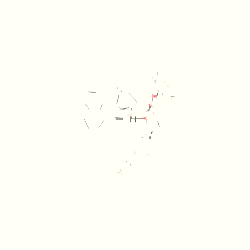 [2H]C([2H])([2H])N1CC[C@H](C(F)F)[C@](C)(C([2H])([2H])Oc2nc3c4c(nc(-c5cc(O)cc6ccc(F)c(C#C)c56)c(F)c4n2)CCC[C@@H]2[C@@H]4CC[C@H](CN32)N4Cc2oc(=O)oc2C)C1